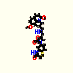 COc1ccc2ccc(=O)n(CCCNC[C@@H]3CN(c4ccc5c(c4)NC(=O)CS5)C(=O)O3)c2c1